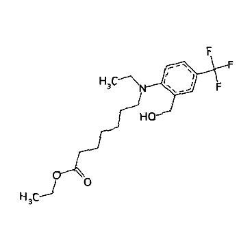 CCOC(=O)CCCCCCN(CC)c1ccc(C(F)(F)F)cc1CO